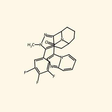 Cn1nc2c(c1-c1cc(F)c(F)c(F)c1)CC1CCCC2N1C(=O)c1cnc2ccccn12